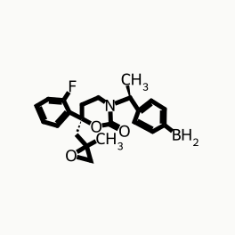 Bc1ccc([C@H](C)N2CC[C@](CC3(C)CO3)(c3ccccc3F)OC2=O)cc1